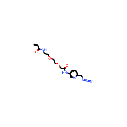 C=CC(=O)NCCOCCOCC(=O)Nc1ccc(CN=[N+]=[N-])nc1